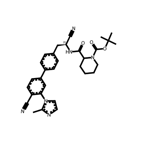 Cc1nccn1-c1cc(-c2ccc(C[C@@H](C#N)NC(=O)C3CCCCN3C(=O)OC(C)(C)C)cc2)ccc1C#N